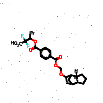 CC(C)C(OC(=O)c1ccc(C(=O)OCOC2CC3CC2[C@@H]2CCCC32)cc1)C(F)(F)C(=O)O